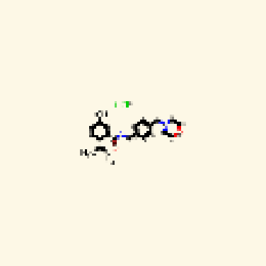 CC(C)[C@@H]1CC[C@@H](C)C[C@H]1C(=O)NCc1ccc(CN2CCOCC2)cc1.Cl